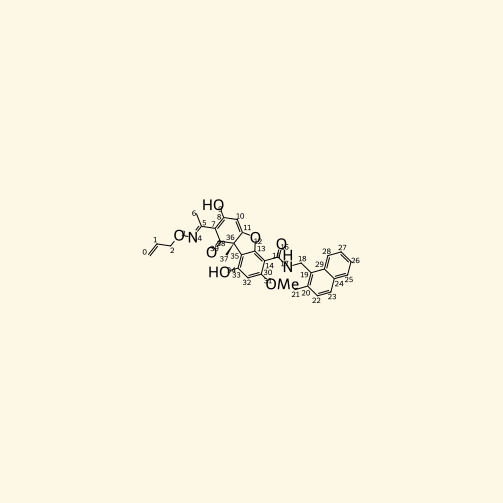 C=CCON=C(C)C1=C(O)C=C2Oc3c(C(=O)NCc4c(C)ccc5ccccc45)c(OC)cc(O)c3[C@]2(C)C1=O